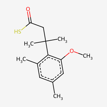 COc1cc(C)cc(C)c1C(C)(C)CC(=O)S